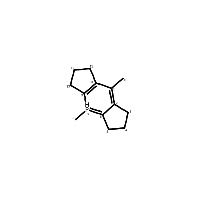 CC1=C2CCCC2=[PH](C)C2=C1CCC2